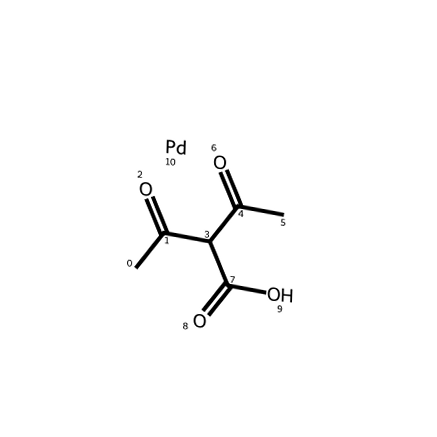 CC(=O)C(C(C)=O)C(=O)O.[Pd]